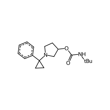 CC(C)(C)NC(=O)OC1CCN(C2(c3ccccc3)CC2)C1